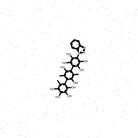 Cc1c(O)c(-c2c(O)c(O)c(-n3nnc4ccccc43)c(O)c2O)c(C)c(O)c1-c1c(C)c(O)c(O)c(O)c1O